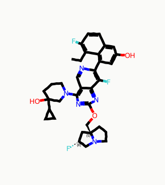 CCc1c(F)ccc2cc(O)cc(-c3ncc4c(N5CCCC(O)(C6CC6)C5)nc(OC[C@@]56CCCN5C[C@H](F)C6)nc4c3F)c12